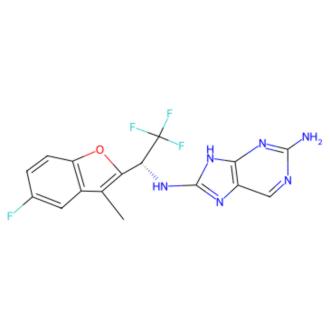 Cc1c([C@@H](Nc2nc3cnc(N)nc3[nH]2)C(F)(F)F)oc2ccc(F)cc12